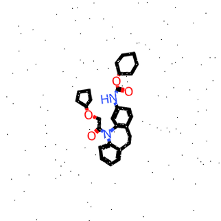 O=C(Nc1ccc2c(c1)N(C(=O)COC1CCCC1)c1ccccc1CC2)OC1CCCCC1